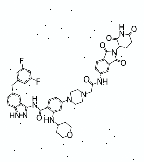 O=C1CCC(N2C(=O)c3ccc(NC(=O)CN4CCN(c5ccc(C(=O)Nc6n[nH]c7ccc(Cc8cc(F)cc(F)c8)cc67)c(NC6CCOCC6)c5)CC4)cc3C2=O)C(=O)N1